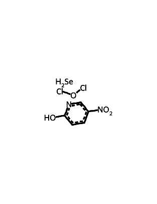 ClOCl.O=[N+]([O-])c1ccc(O)nc1.[SeH2]